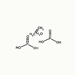 C=C.O.O=[PH](O)O.O=[PH](O)O